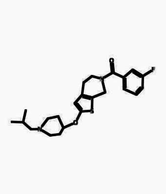 CC(C)CN1CCC(Oc2cc3c(s2)CN(C(=O)c2cccc(F)c2)CC3)CC1